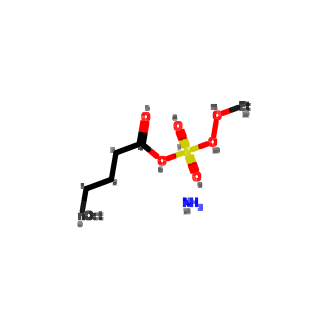 CCCCCCCCCCCC(=O)OS(=O)(=O)OOCC.N